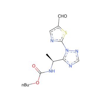 CCCCOC(=O)N[C@@H](C)c1ncnn1-c1ncc(C=O)s1